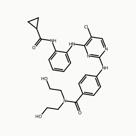 O=C(Nc1ccccc1Nc1nc(Nc2ccc(C(=O)N(CCO)CCO)cc2)ncc1Cl)C1CC1